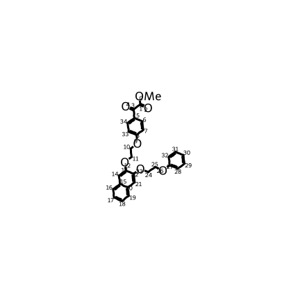 COC(=O)C(=O)c1ccc(OCCOc2cc3ccccc3cc2OCCOc2ccccc2)cc1